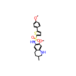 COc1ccc(-c2ccc(S(=O)(=O)Nc3cc4c(cc3OC)NCC(C)CC4)s2)cc1